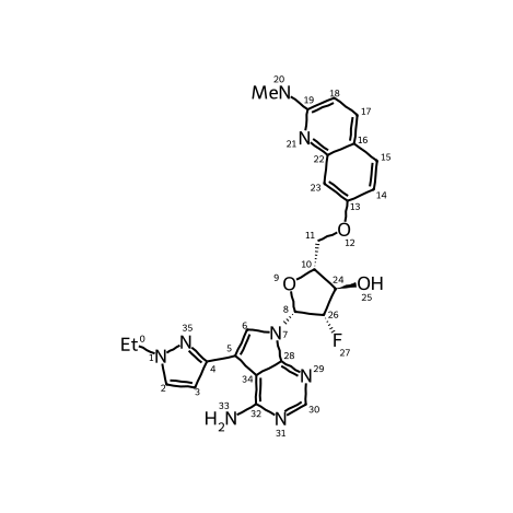 CCn1ccc(-c2cn([C@@H]3O[C@H](COc4ccc5ccc(NC)nc5c4)[C@@H](O)[C@@H]3F)c3ncnc(N)c23)n1